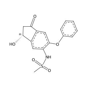 CS(=O)(=O)Nc1cc2c(cc1Oc1ccccc1)C(=O)C[C@H]2O